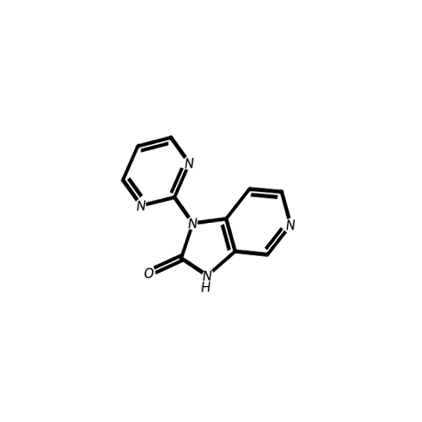 O=c1[nH]c2cnccc2n1-c1ncccn1